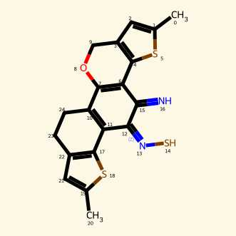 Cc1cc2c(s1)C1=C(OC2)C2=C(/C(=N/S)C1=N)c1sc(C)cc1CC2